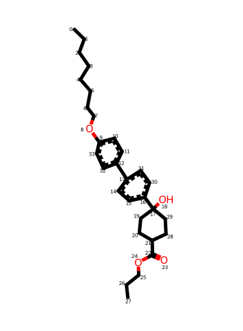 CCCCCCCCOc1ccc(-c2ccc(C3(O)CCC(C(=O)OCCC)CC3)cc2)cc1